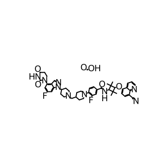 CC1(C)C(NC(=O)c2ccc(N3CCC(CN4CCC(n5ncc6c(N7CCC(=O)NC7=O)cc(F)cc65)CC4)CC3)c(F)c2)C(C)(C)C1Oc1ccc(C#N)c2ncccc12.O=CO